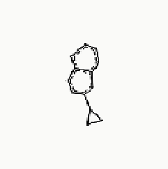 [c]1cc(C2CC2)cc2ccccc12